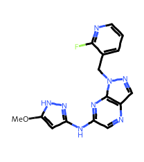 COc1cc(Nc2cnc3cnn(Cc4cccnc4F)c3n2)n[nH]1